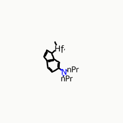 CCCN(CCC)c1ccc2c(c1)[CH]([Hf]([CH3])[CH3])C=C2